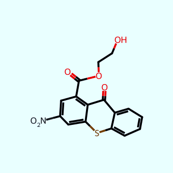 O=C(OCCO)c1cc([N+](=O)[O-])cc2sc3ccccc3c(=O)c12